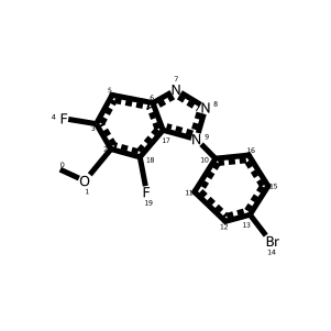 COc1c(F)cc2nnn(-c3ccc(Br)cc3)c2c1F